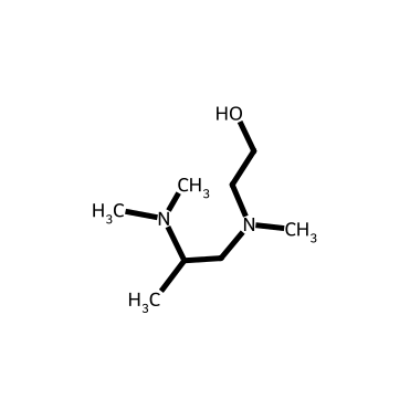 CC(CN(C)CCO)N(C)C